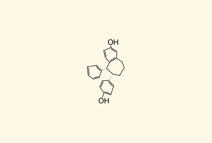 Oc1ccc([C@H]2CCCc3cc(O)ccc3[C@H]2c2ccccc2)cc1